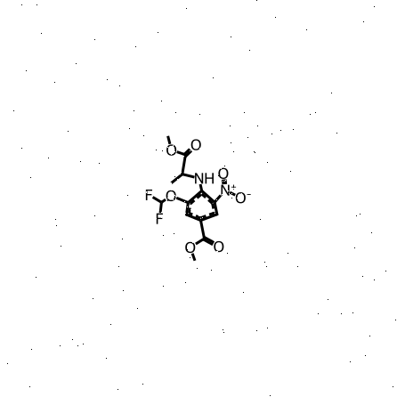 COC(=O)c1cc(OC(F)F)c(NC(C)C(=O)OC)c([N+](=O)[O-])c1